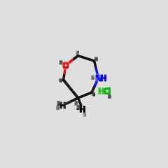 Cl.[2H]C1([2H])CNCCOC1